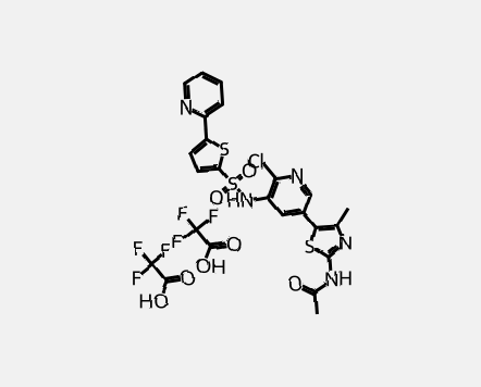 CC(=O)Nc1nc(C)c(-c2cnc(Cl)c(NS(=O)(=O)c3ccc(-c4ccccn4)s3)c2)s1.O=C(O)C(F)(F)F.O=C(O)C(F)(F)F